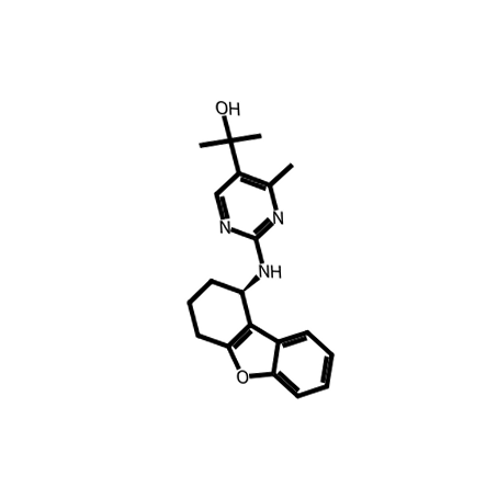 Cc1nc(N[C@@H]2CCCc3oc4ccccc4c32)ncc1C(C)(C)O